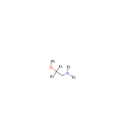 CCN(CC)CC(CC)(CC)OC(C)C